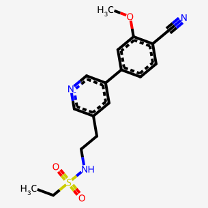 CCS(=O)(=O)NCCc1cncc(-c2ccc(C#N)c(OC)c2)c1